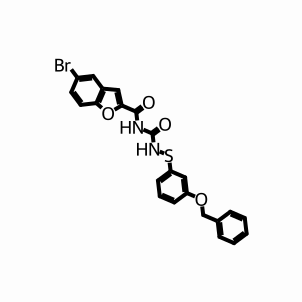 O=C(NSc1cccc(OCc2ccccc2)c1)NC(=O)c1cc2cc(Br)ccc2o1